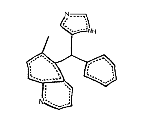 Cc1ccc2ncccc2c1C(c1ccccc1)c1cnc[nH]1